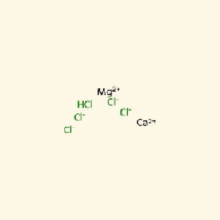 Cl.[Ca+2].[Cl-].[Cl-].[Cl-].[Cl-].[Mg+2]